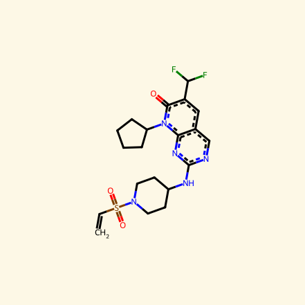 C=CS(=O)(=O)N1CCC(Nc2ncc3cc(C(F)F)c(=O)n(C4CCCC4)c3n2)CC1